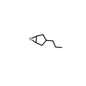 CCCC1CC2OC2C1